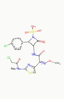 CO/N=C(\C(=O)NC1C(=O)N(S(=O)(=O)O)C1c1ccc(Cl)cc1)c1csc(NC(=O)CCl)n1.[NaH]